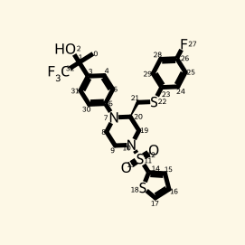 CC(O)(c1ccc(N2CCN(S(=O)(=O)c3cccs3)C[C@@H]2CSc2ccc(F)cc2)cc1)C(F)(F)F